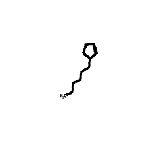 CCCCCCC1C=CCC1